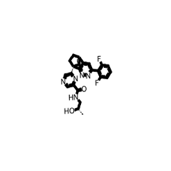 C[C@H](O)CNC(=O)c1cncc([C@]23CCC4(CC42C)c2cc(-c4c(F)cccc4F)nnc23)n1